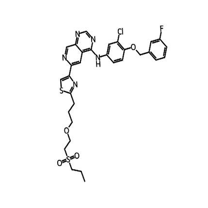 CCCS(=O)(=O)CCOCCCc1nc(-c2cc3c(Nc4ccc(OCc5cccc(F)c5)c(Cl)c4)ncnc3cn2)cs1